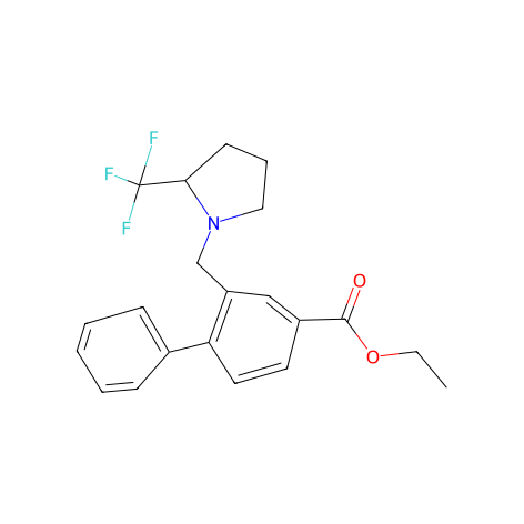 CCOC(=O)c1ccc(-c2ccccc2)c(CN2CCCC2C(F)(F)F)c1